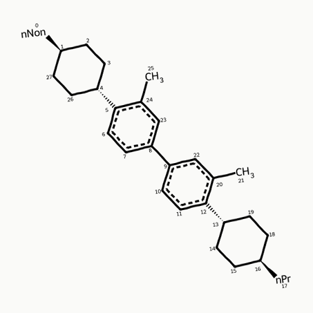 CCCCCCCCC[C@H]1CC[C@H](c2ccc(-c3ccc([C@H]4CC[C@H](CCC)CC4)c(C)c3)cc2C)CC1